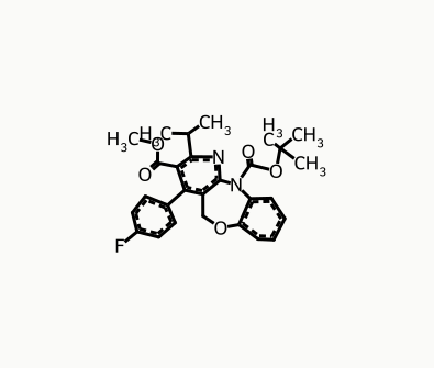 COC(=O)c1c(C(C)C)nc2c(c1-c1ccc(F)cc1)COc1ccccc1N2C(=O)OC(C)(C)C